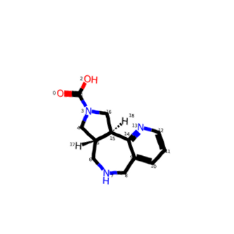 O=C(O)N1C[C@H]2CNCc3cccnc3[C@@H]2C1